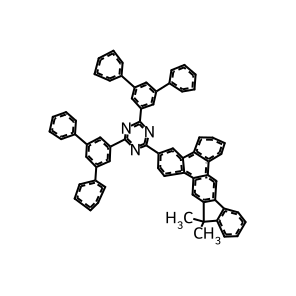 CC1(C)c2ccccc2-c2cc3c4ccccc4c4cc(-c5nc(-c6cc(-c7ccccc7)cc(-c7ccccc7)c6)nc(-c6cc(-c7ccccc7)cc(-c7ccccc7)c6)n5)ccc4c3cc21